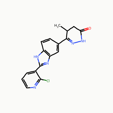 CC1CC(=O)NN=C1c1ccc2[nH]c(-c3cccnc3Cl)nc2c1